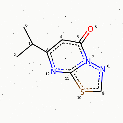 CC(C)c1cc(=O)n2n[c]sc2n1